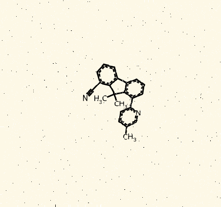 Cc1ccc(-c2cccc3c2C(C)(C)c2c(C#N)cccc2-3)nc1